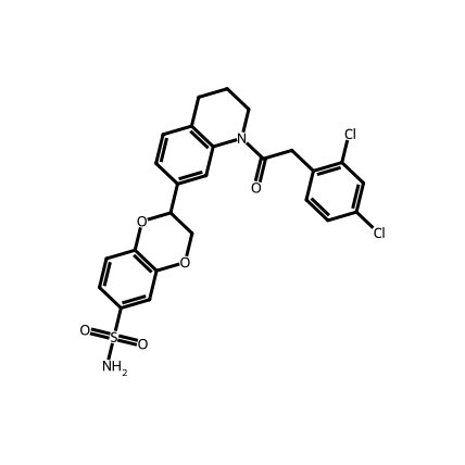 NS(=O)(=O)c1ccc2c(c1)OCC(c1ccc3c(c1)N(C(=O)Cc1ccc(Cl)cc1Cl)CCC3)O2